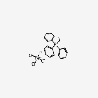 CC[P+](c1ccccc1)(c1ccccc1)c1ccccc1.[Cl][Fe-]([Cl])([Cl])[Cl]